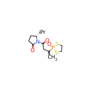 C=C(CC(=O)N1C(=O)CC[C@@H]1C(C)C)P1(=O)SCCS1